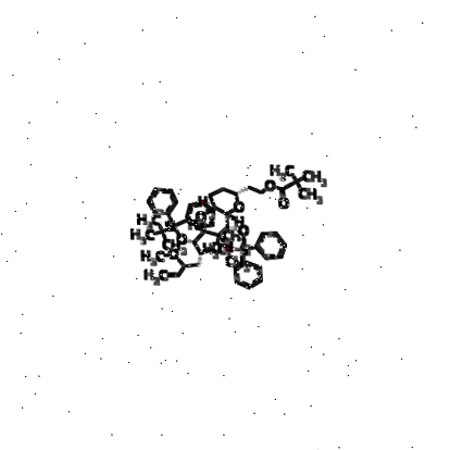 C=CC(C[C@H]1O[C@H]2[C@@H](O[Si](c3ccccc3)(c3ccccc3)C(C)(C)C)[C@H]3O[C@@H](CCOC(=O)C(C)(C)C)CC[C@@H]3O[C@H]2[C@H]1O[Si](c1ccccc1)(c1ccccc1)C(C)(C)C)OC